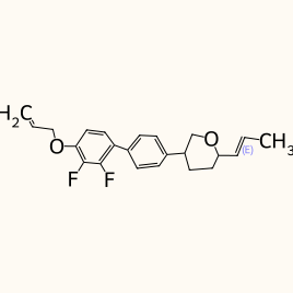 C=CCOc1ccc(-c2ccc(C3CCC(/C=C/C)OC3)cc2)c(F)c1F